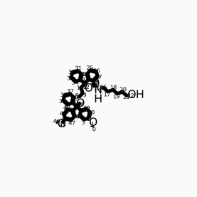 COc1ccc(C(OCCCC(OC(=O)NCCCCCCO)(c2ccccc2)c2ccccc2)(c2ccccc2)c2ccc(OC)cc2)cc1